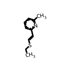 CCS/C=C/c1cccc(C)n1